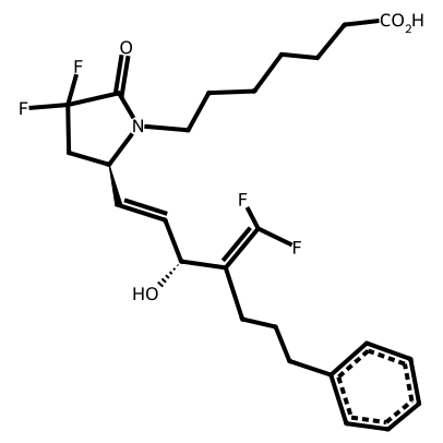 O=C(O)CCCCCCN1C(=O)C(F)(F)C[C@@H]1/C=C/[C@@H](O)C(CCCc1ccccc1)=C(F)F